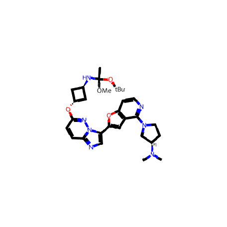 COC(C)(N[C@H]1C[C@H](Oc2ccc3ncc(-c4cc5c(N6CC[C@@H](N(C)C)C6)nccc5o4)n3n2)C1)OC(C)(C)C